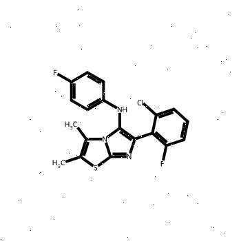 Cc1sc2nc(-c3c(F)cccc3Cl)c(Nc3ccc(F)cc3)n2c1C